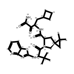 CC(C)(C)[C@@H](Nc1nc2ncccc2o1)C(=O)N1C[C@]2(CC1C(=O)NC(CC1CCC1)C(=O)C(N)=O)CC2(C)C